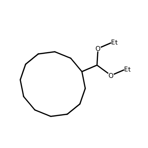 CCOC(OCC)C1CCCCCCCCCCC1